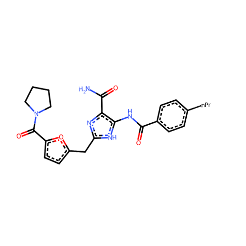 CCCc1ccc(C(=O)Nc2[nH]c(Cc3ccc(C(=O)N4CCCC4)o3)nc2C(N)=O)cc1